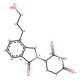 O=C1CCC(N2Cc3c(CCCO)cccc3C2=O)C(=O)N1